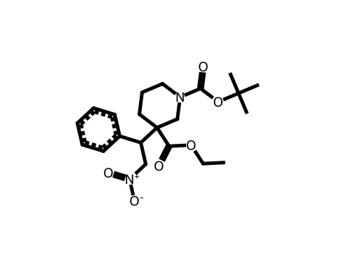 CCOC(=O)C1(C(C[N+](=O)[O-])c2ccccc2)CCCN(C(=O)OC(C)(C)C)C1